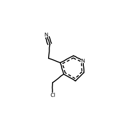 N#CCc1cnccc1CCl